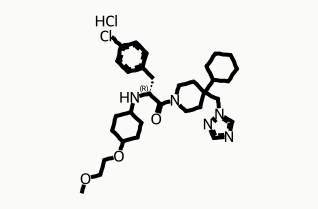 COCCOC1CCC(N[C@H](Cc2ccc(Cl)cc2)C(=O)N2CCC(Cn3cncn3)(C3CCCCC3)CC2)CC1.Cl